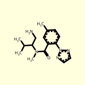 Cc1ccc(-n2nccn2)c(C(=O)N(C)C(CN)C(C)C)c1